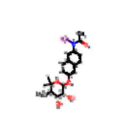 BC(=O)N(P)c1ccc2cc(O[C@@H]3OC(C)(C)[C@H](OC)[C@@H](O)[C@H]3O)ccc2c1